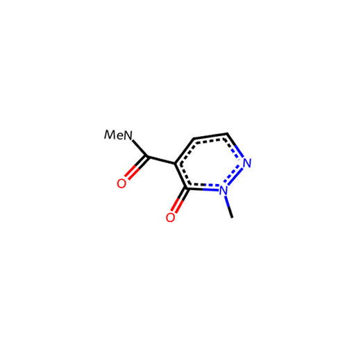 CNC(=O)c1ccnn(C)c1=O